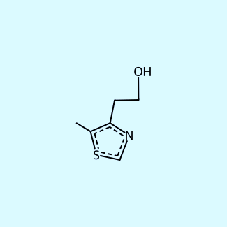 Cc1scnc1CCO